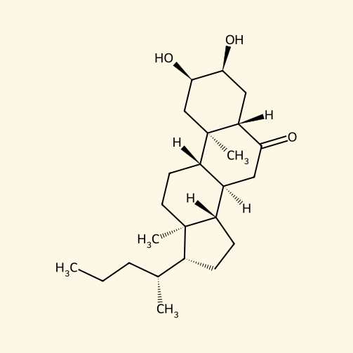 CCC[C@@H](C)[C@H]1CC[C@H]2[C@@H]3CC(=O)[C@H]4C[C@H](O)[C@H](O)C[C@]4(C)[C@H]3CC[C@]12C